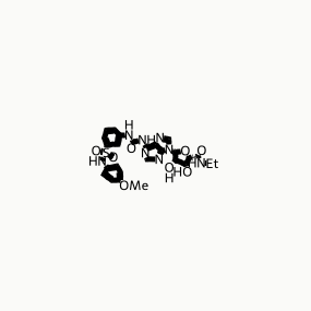 CCNC(=O)[C@H]1O[C@@H](n2cnc3c(NC(=O)Nc4cccc(S(=O)(=O)Nc5ccc(OC)cc5)c4)ncnc32)C(O)C1O